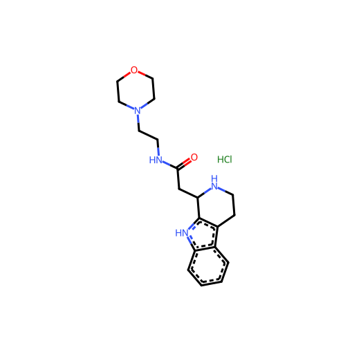 Cl.O=C(CC1NCCc2c1[nH]c1ccccc21)NCCN1CCOCC1